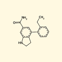 CCc1ccccc1-c1cc(C(N)=O)cc2c1CCN2